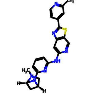 Cc1cc(-c2nc3cc(Nc4cccc(N5[C@H]6C[C@@H]5N(C)C6)n4)ncc3s2)ccn1